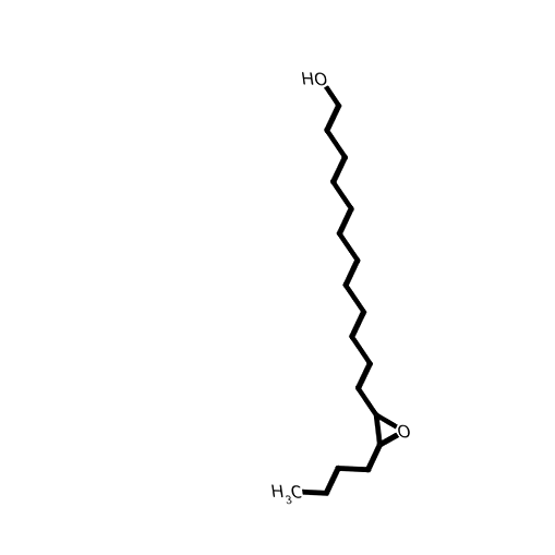 CCCCC1OC1CCCCCCCCCCCCO